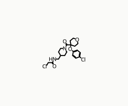 O=C(CCl)NCC1CCN(C(=O)C2(Oc3ccc(Cl)cc3)CCOCC2)CC1